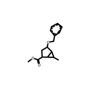 COC(=O)C1CC(OCc2ccccc2)C2C(C)C12